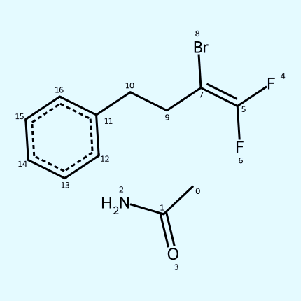 CC(N)=O.FC(F)=C(Br)CCc1ccccc1